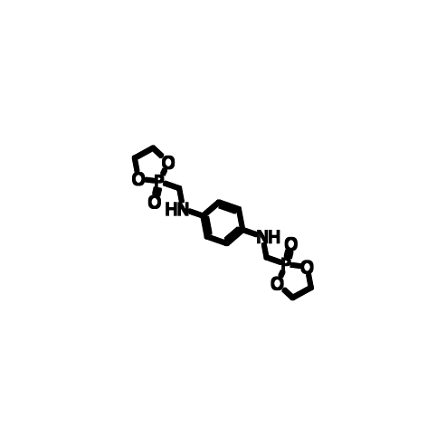 O=P1(CNc2ccc(NCP3(=O)OCCO3)cc2)OCCO1